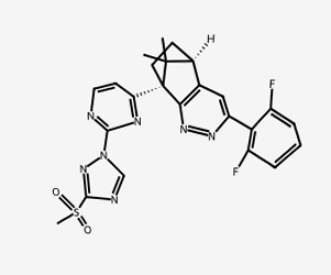 CC1(C)[C@H]2CC[C@]1(c1ccnc(-n3cnc(S(C)(=O)=O)n3)n1)c1nnc(-c3c(F)cccc3F)cc12